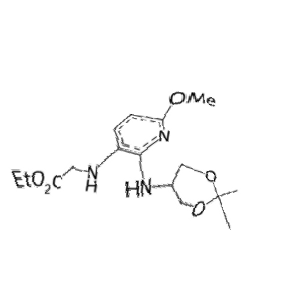 CCOC(=O)CNc1ccc(OC)nc1NC1COC(C)(C)OC1